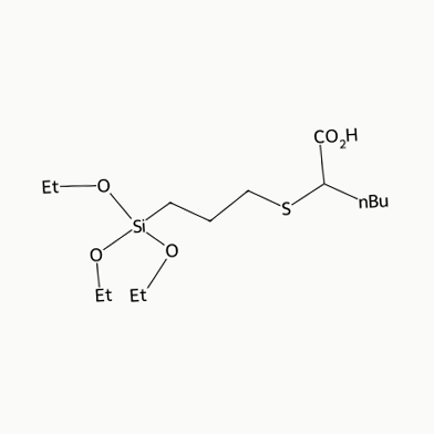 CCCCC(SCCC[Si](OCC)(OCC)OCC)C(=O)O